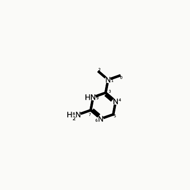 CN(C)C1=NCN=C(N)N1